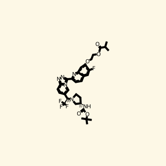 CC(C)C(=O)OCCOc1cc2nc(-c3nnc4ccc([C@@H](N5CC[C@H](NC(=O)OC(C)(C)C)C5)C(F)(F)F)cn34)ccc2cc1F